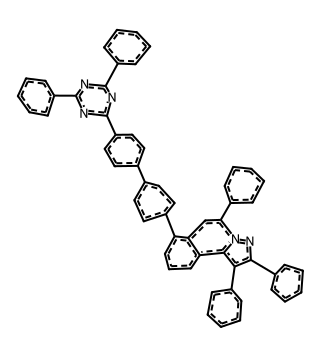 c1ccc(-c2nc(-c3ccccc3)nc(-c3ccc(-c4ccc(-c5cccc6c5cc(-c5ccccc5)n5nc(-c7ccccc7)c(-c7ccccc7)c65)cc4)cc3)n2)cc1